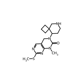 CSc1ncc2c(n1)N(C)C(=O)N(C1CCNCC13CCC3)C2